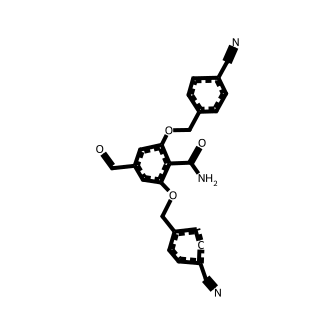 N#Cc1ccc(COc2cc(C=O)cc(OCc3ccc(C#N)cc3)c2C(N)=O)cc1